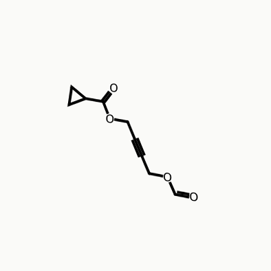 O=COCC#CCOC(=O)C1CC1